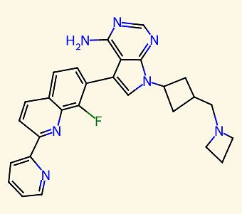 Nc1ncnc2c1c(-c1ccc3ccc(-c4ccccn4)nc3c1F)cn2C1CC(CN2CCC2)C1